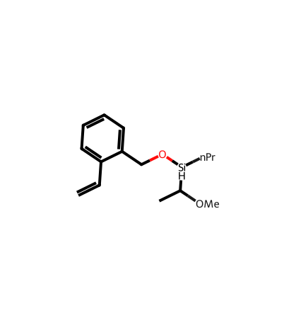 C=Cc1ccccc1CO[SiH](CCC)C(C)OC